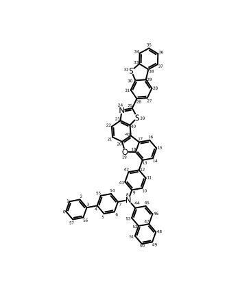 c1ccc(-c2ccc(N(c3ccc(-c4cccc5c4oc4ccc6nc(-c7ccc8c(c7)sc7ccccc78)sc6c45)cc3)c3ccc4ccccc4c3)cc2)cc1